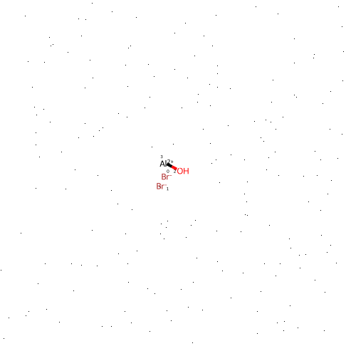 [Br-].[Br-].[OH][Al+2]